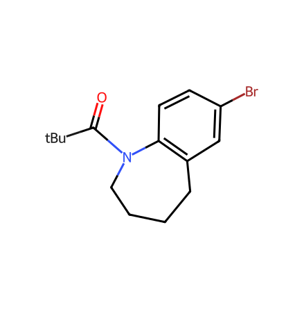 CC(C)(C)C(=O)N1CCCCc2cc(Br)ccc21